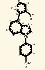 Oc1ccc(-n2cnc3c(-c4sccc4Cl)cccc32)cc1